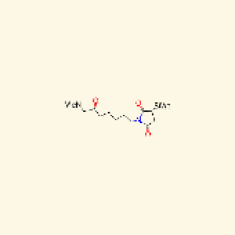 CNCC(=O)CCCCCN1C(=O)CC(SC)C1=O